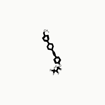 CCc1ccc(C2CCC(C#Cc3ccc(OC(F)(F)C(F)C(F)(F)F)cc3)CC2)cc1